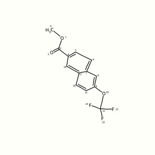 COC(=O)c1ccc2cc(OC(F)(F)F)ccc2c1